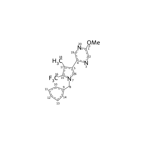 COc1cnc(-c2[c]n(Cc3ccccc3)c(C(F)(F)F)c2C)cn1